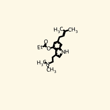 CCC(=O)Oc1cc(CC=C(C)C)cc2[nH]cc(CCN(C)C)c12